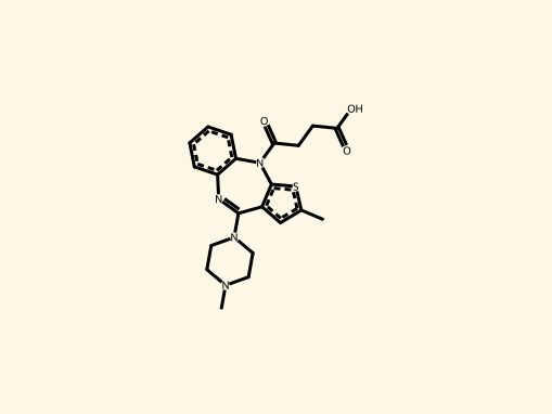 Cc1cc2c(s1)N(C(=O)CCC(=O)O)c1ccccc1N=C2N1CCN(C)CC1